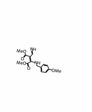 COC(=O)/C(C=N)=C(/NCc1ccc(OC)cc1)C(=O)OC